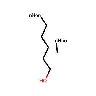 CCCCCCCCCC.CCCCCCCCCCCCCCO